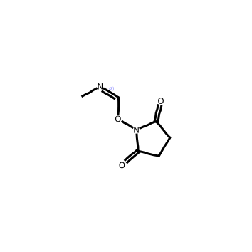 C/N=C\ON1C(=O)CCC1=O